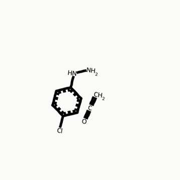 C=C=O.NNc1ccc(Cl)cc1